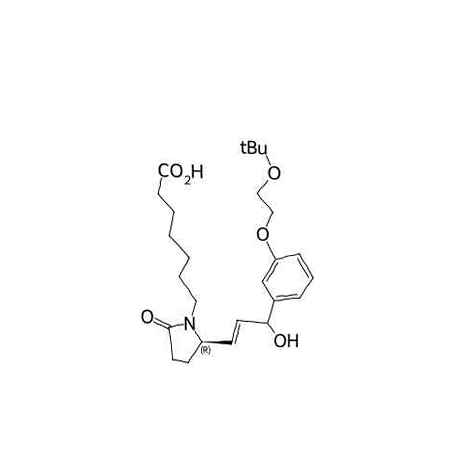 CC(C)(C)OCCOc1cccc(C(O)C=C[C@H]2CCC(=O)N2CCCCCCC(=O)O)c1